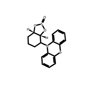 O=S1O[C@H]2CCCC(N3c4ccccc4Sc4ccccc43)[C@H]2O1